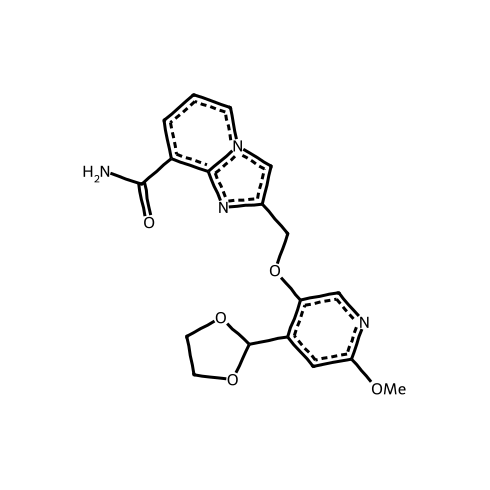 COc1cc(C2OCCO2)c(OCc2cn3cccc(C(N)=O)c3n2)cn1